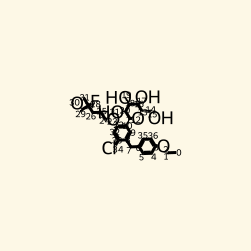 CCOc1ccc(Cc2cc([C@@H]3O[C@H](CO)[C@@H](O)[C@H](O)[C@H]3O)c(OCCCC3(F)COC3)cc2Cl)cc1